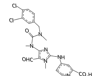 CN(Cc1ccc(Cl)c(Cl)c1)C(=O)N(C)c1nc(Nc2ccnc(C(=O)O)c2)n(C)c1C=O